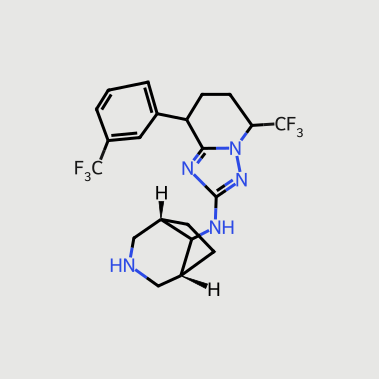 FC(F)(F)c1cccc(C2CCC(C(F)(F)F)n3nc(NC4[C@@H]5CC[C@H]4CNC5)nc32)c1